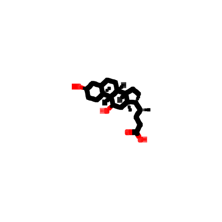 C[C@H](CCC(=O)O)[C@H]1CC[C@H]2[C@@H]3CCC4C[C@H](O)CC[C@]4(C)[C@H]3[C@H](O)C[C@]12C